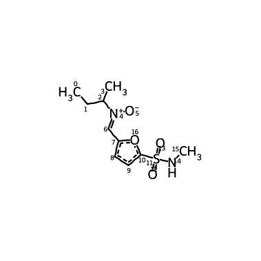 CCC(C)[N+]([O-])=Cc1ccc(S(=O)(=O)NC)o1